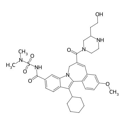 COc1ccc2c(c1)C=C(C(=O)N1CCNC(CCO)C1)Cn1c-2c(C2CCCCC2)c2ccc(C(=O)NS(=O)(=O)N(C)C)cc21